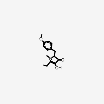 CCC1=C(O)C(=O)C(Cc2ccc(OC)cc2)N1C